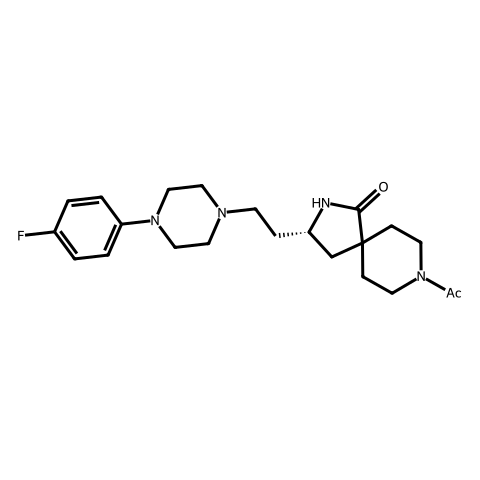 CC(=O)N1CCC2(CC1)C[C@H](CCN1CCN(c3ccc(F)cc3)CC1)NC2=O